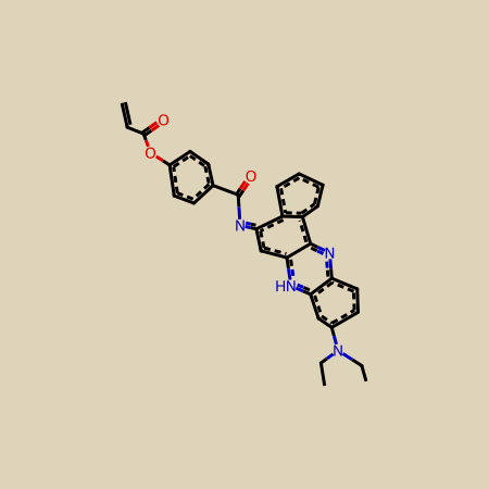 C=CC(=O)Oc1ccc(C(=O)/N=c2/cc3[nH]c4cc(N(CC)CC)ccc4nc-3c3ccccc23)cc1